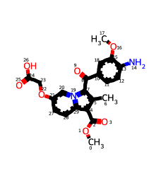 COC(=O)c1c(C)c(C(=O)c2ccc(N)c(OC)c2)n2cc(OCC(=O)O)ccc12